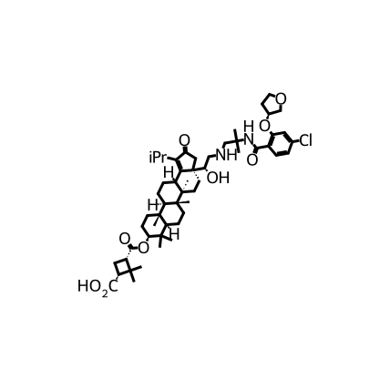 CC(C)C1=C2[C@H]3CC[C@@H]4[C@@]5(C)CC[C@H](OC(=O)[C@H]6C[C@@H](C(=O)O)C6(C)C)C(C)(C)[C@@H]5CC[C@@]4(C)[C@]3(C)CC[C@@]2([C@@H](O)CNCC(C)(C)NC(=O)c2ccc(Cl)cc2O[C@H]2CCOC2)CC1=O